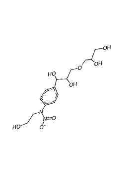 O=[N+]([O-])N(CCO)c1ccc(C(O)C(O)COCC(O)CO)cc1